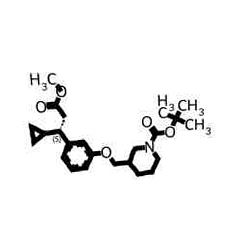 COC(=O)C[C@H](c1cccc(OCC2CCCN(C(=O)OC(C)(C)C)C2)c1)C1CC1